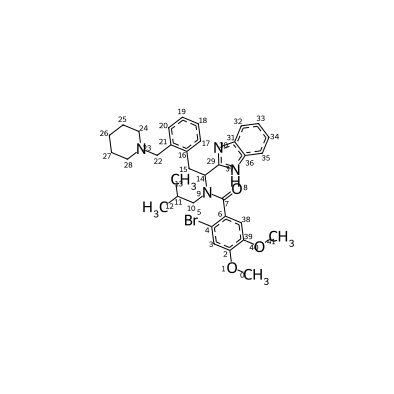 COc1cc(Br)c(C(=O)N(CC(C)C)C(Cc2ccccc2CN2CCCCC2)c2nc3ccccc3[nH]2)cc1OC